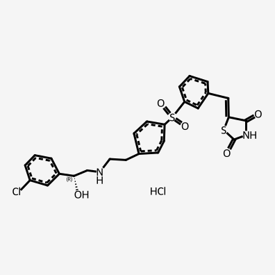 Cl.O=C1NC(=O)C(=Cc2cccc(S(=O)(=O)c3ccc(CCNC[C@H](O)c4cccc(Cl)c4)cc3)c2)S1